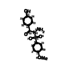 COc1ccc(S(=O)(=O)N(N)C(=O)c2ccc(O)cc2)cc1